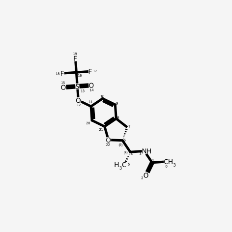 CC(=O)N[C@H](C)[C@H]1Cc2ccc(OS(=O)(=O)C(F)(F)F)cc2O1